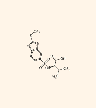 CSc1nc2ccc(S(=O)(=O)N[C@@H](C(=O)O)C(C)C)cc2s1